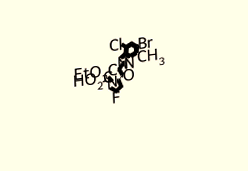 CCOC(=O)C(C(=O)[C@@H]1C[C@@H](F)CN1C(=O)O)n1cc2c(Cl)cc(Br)c(C)c2n1